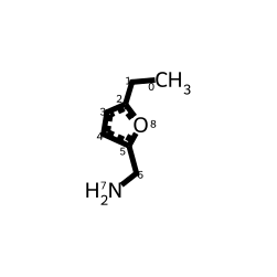 CCc1ccc(CN)o1